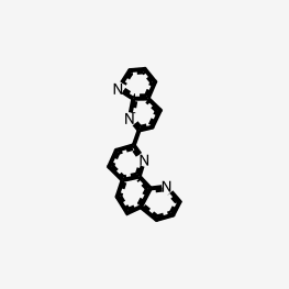 c1cnc2nc(-c3ccc4ccc5cccnc5c4n3)ccc2c1